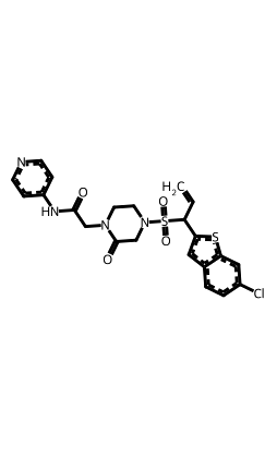 C=CC(c1cc2ccc(Cl)cc2s1)S(=O)(=O)N1CCN(CC(=O)Nc2ccncc2)C(=O)C1